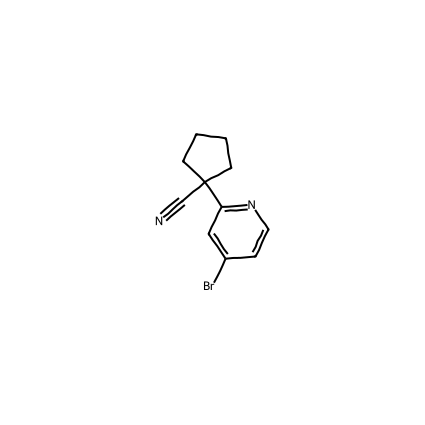 N#CC1(c2cc(Br)ccn2)CCCC1